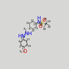 COc1ccc(NNC[C@H]2CC[C@H](NS(=O)(=O)C(C)(C)C)CC2)cc1